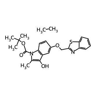 CC.Cc1c(O)c2cc(OCc3nc4ccccc4s3)ccc2n1C(=O)OC(C)(C)C